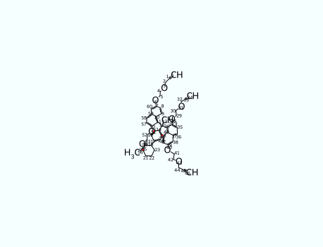 C#CCOCCOc1ccc2c(C(C)(c3ccc(C4CCCCC4)cc3)c3c(OCCOCC#C)ccc4cc(OCCOCC#C)ccc34)c(OCCOCC)ccc2c1